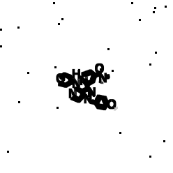 COc1ccc(Cn2nc(-c3cc(C(=O)N(C)C)ccn3)c3c(NC4CCOCC4)nccc32)cc1